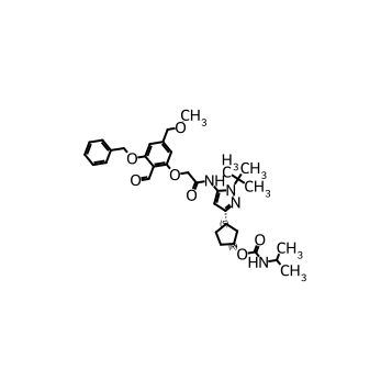 COCc1cc(OCC(=O)Nc2cc([C@H]3CC[C@@H](OC(=O)NC(C)C)C3)nn2C(C)(C)C)c(C=O)c(OCc2ccccc2)c1